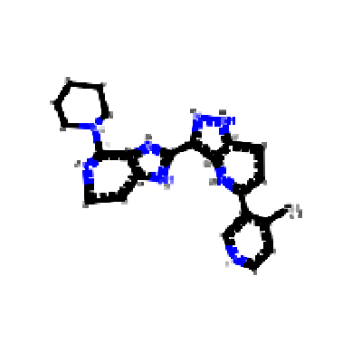 Cc1ccncc1-c1ccc2[nH]nc(-c3nc4c(N5CCCCC5)nccc4[nH]3)c2n1